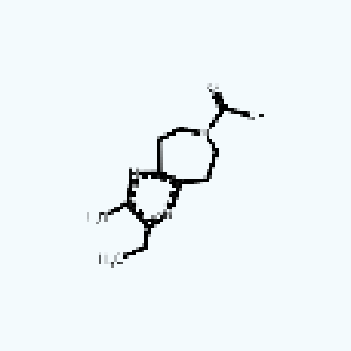 CCc1nc2c(nc1N)CCN(C(=O)O)CC2